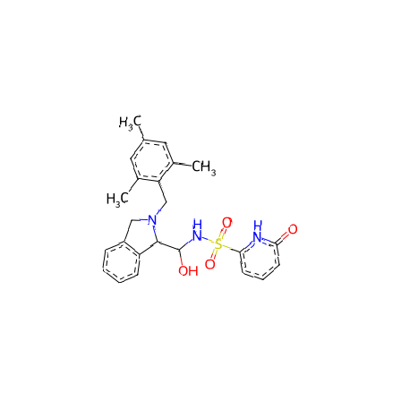 Cc1cc(C)c(CN2Cc3ccccc3C2C(O)NS(=O)(=O)c2cccc(=O)[nH]2)c(C)c1